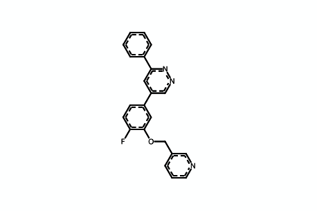 Fc1ccc(-c2cnnc(-c3ccccc3)c2)cc1OCc1cccnc1